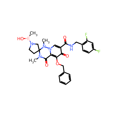 CB(O)N1CCC2(C1)N(C)C(=O)c1c(OCc3ccccc3)c(=O)c(C(=O)NCc3ccc(F)cc3F)cn1N2C